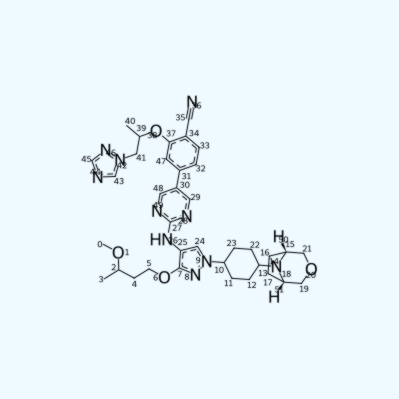 COC(C)CCOc1nn(C2CCC(N3[C@@H]4CC[C@H]3COC4)CC2)cc1Nc1ncc(-c2ccc(C#N)c(OC(C)Cn3cncn3)c2)cn1